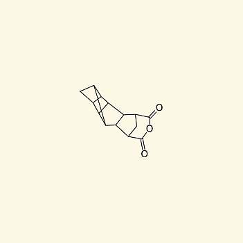 O=C1OC(=O)C2CC1C1C2C2C3C4CC3C2C41